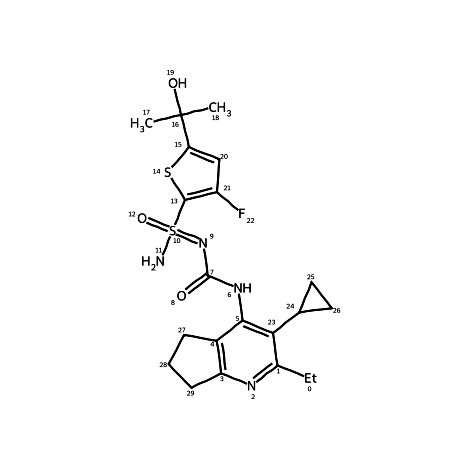 CCc1nc2c(c(NC(=O)N=S(N)(=O)c3sc(C(C)(C)O)cc3F)c1C1CC1)CCC2